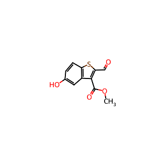 COC(=O)c1c(C=O)sc2ccc(O)cc12